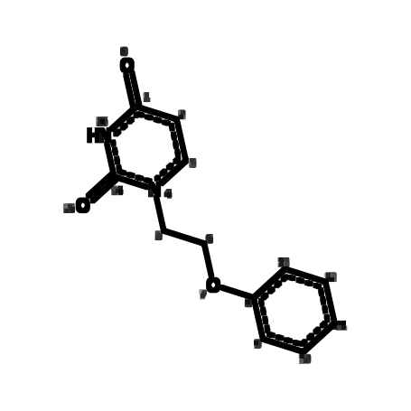 O=c1ccn(CCOc2cc[c]cc2)c(=O)[nH]1